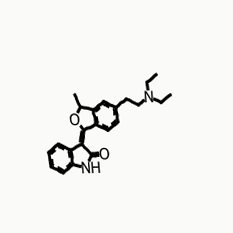 CCN(CC)CCc1ccc2c(c1)C(C)O/C2=C1/C(=O)Nc2ccccc21